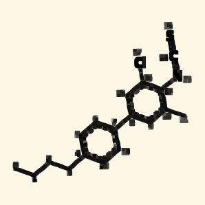 CCCCc1ccc(-c2cc(C)c(N=C=S)c(Cl)c2)cc1